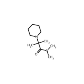 CN(C)C(=O)C(C)(C)N1CCCCC1